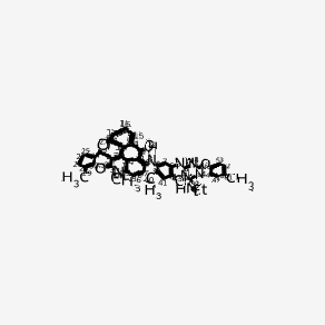 CCNc1nc(Nc2cc(NC3=C4C(=O)c5ccccc5C5=C(C(=O)c6cccc(C)c6)C(=O)N(C)C(C=C3)C45)c(C)cc2C)nc(Oc2ccc(C)cc2)n1